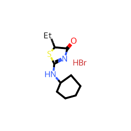 Br.CCC1SC(NC2CCCCC2)=NC1=O